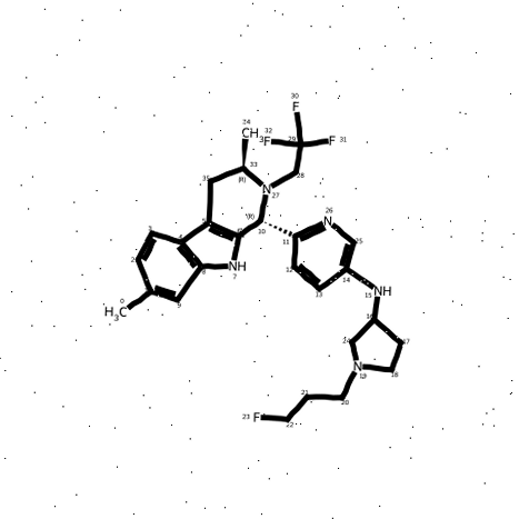 Cc1ccc2c3c([nH]c2c1)[C@@H](c1ccc(NC2CCN(CCCF)C2)cn1)N(CC(F)(F)F)[C@H](C)C3